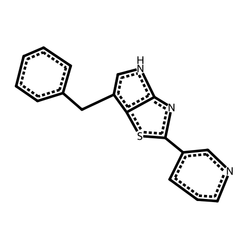 c1ccc(Cc2c[nH]c3nc(-c4cccnc4)sc23)cc1